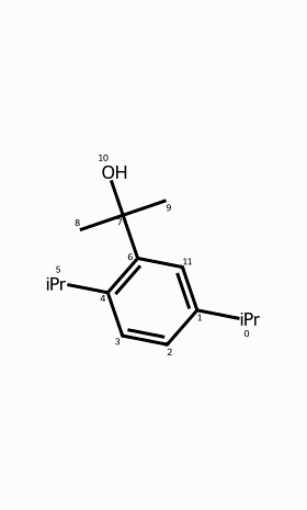 CC(C)c1ccc(C(C)C)c(C(C)(C)O)c1